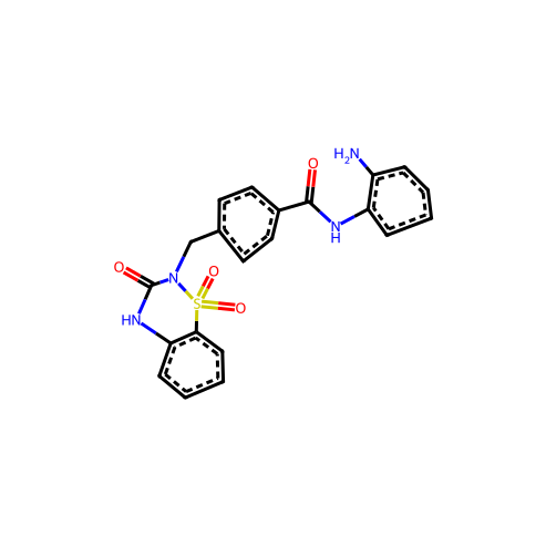 Nc1ccccc1NC(=O)c1ccc(CN2C(=O)Nc3ccccc3S2(=O)=O)cc1